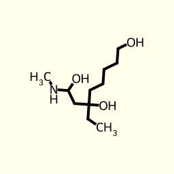 CCC(O)(CCCCCO)CC(O)NC